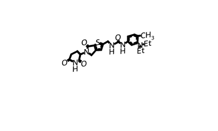 CCN(CC)c1cc(NC(=O)NCc2cc3c(s2)C(=O)N(C2CCC(=O)NC2=O)C3)ccc1C